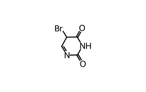 O=C1N=CC(Br)C(=O)N1